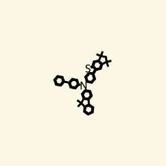 CC1(C)CC(C)(C)c2cc3c(cc21)sc1cc(N(c2ccc(-c4ccccc4)cc2)c2ccc4c(c2)C(C)(C)c2ccccc2-4)ccc13